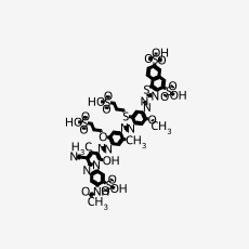 COc1cc(N=Nc2cc(OCCCS(=O)(=O)O)c(N=Nc3c(C)c(C#N)c4nc5cc(NC(C)=O)c(S(=O)(=O)O)cc5n4c3O)cc2C)c(SCCCS(=O)(=O)O)cc1N=Nc1nc2c(S(=O)(=O)O)cc3cc(S(=O)(=O)O)ccc3c2s1